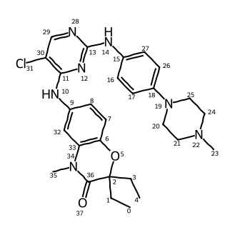 CCC1(CC)Oc2ccc(Nc3nc(Nc4ccc(N5CCN(C)CC5)cc4)ncc3Cl)cc2N(C)C1=O